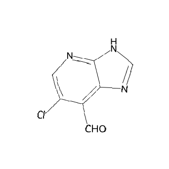 O=Cc1c(Cl)cnc2[nH]cnc12